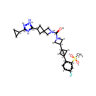 CS(=O)(=O)c1cc(F)ccc1C12CC(C3CN(C(=O)N4CC5(CC(c6nc(C7CC7)n[nH]6)C5)C4)C3)(C1)C2